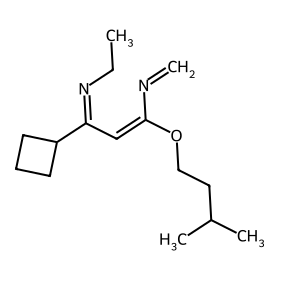 C=N/C(=C\C(=N/CC)C1CCC1)OCCC(C)C